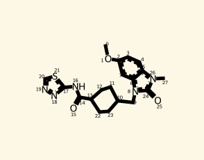 COc1ccc2c(c1)n(CC1CCC(C(=O)Nc3nncs3)CC1)c(=O)n2C